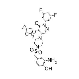 CC1(COc2c(N3CCN(S(=O)(=O)Cc4ccc(O)c(N)c4)CC3)cnn(-c3cc(F)cc(F)c3)c2=O)CC1